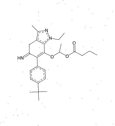 CCCC(=O)OC(C)OC1=C(c2ccc(C(C)(C)C)cc2)C(=N)Cc2c(C)nn(CC)c21